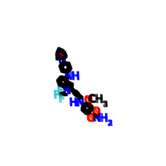 COc1cc(S(N)(=O)=O)ccc1NCC#Cc1cc2c(N[C@H]3CC[C@@H](N4CC5CC(C4)O5)CC3)cccc2n1CC(F)(F)F